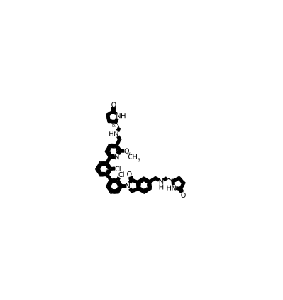 COc1nc(-c2cccc(-c3cccc(N4Cc5ccc(CNC[C@@H]6CCC(=O)N6)cc5C4=O)c3Cl)c2Cl)ccc1CNC[C@@H]1CCC(=O)N1